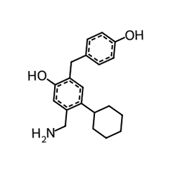 NCc1cc(O)c(Cc2ccc(O)cc2)cc1C1CCCCC1